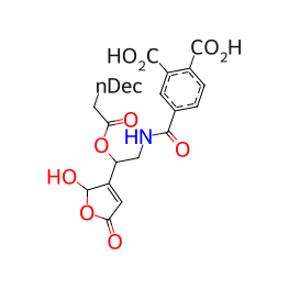 CCCCCCCCCCCC(=O)OC(CNC(=O)c1ccc(C(=O)O)c(C(=O)O)c1)C1=CC(=O)OC1O